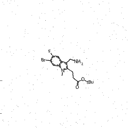 Cn1c(CCC(=O)OC(C)(C)C)c(CN)c2cc(F)c(Br)cc21